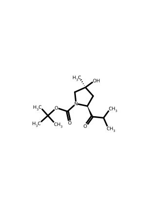 CC(C)C(=O)[C@@H]1C[C@](C)(O)CN1C(=O)OC(C)(C)C